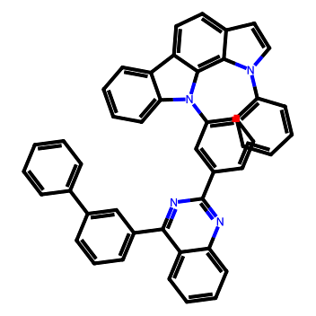 c1ccc(-c2cccc(-c3nc(-c4cccc(-n5c6ccccc6c6ccc7ccn(-c8ccccc8)c7c65)c4)nc4ccccc34)c2)cc1